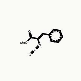 COC(=O)/C(=C/c1ccccc1)N=C=O